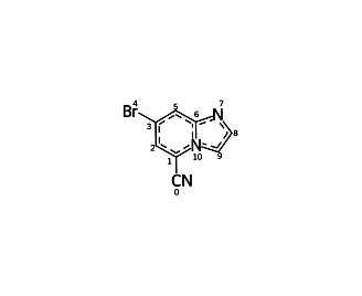 N#Cc1cc(Br)cc2nccn12